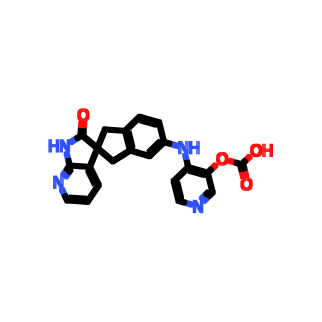 O=C(O)Oc1cnccc1Nc1ccc2c(c1)CC1(C2)C(=O)Nc2ncccc21